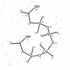 CC(O)C[Si](C)(C)O[Si](C)(C)O[Si](C)(C)O[Si](C)(C)CC(C)O